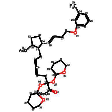 COC(=O)C(CC=C=CC[C@H]1[C@@H](OC(C)=O)CC[C@@H]1C=CCCOc1cccc(C(F)(F)F)c1)(OC1CCCCO1)OC1CCCCO1